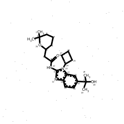 CC1(C)CCCC(CC(=O)Nc2nc3ccc(C(C)(C)O)cc3n2C2CCC2)O1